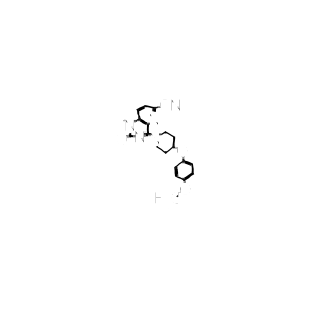 Cn1c(=O)nc(N2CCC(Oc3ccc(OC(F)(F)F)cc3)CC2)c2nc(C#N)ccc21